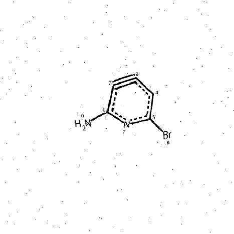 Nc1c#ccc(Br)n1